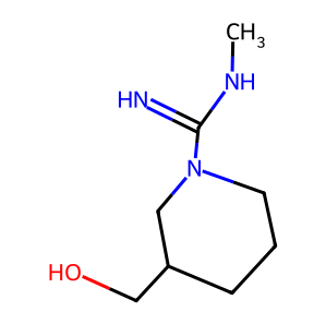 CNC(=N)N1CCCC(CO)C1